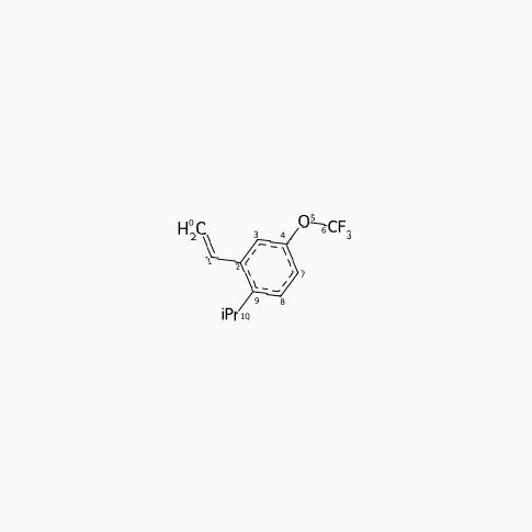 C=[C]c1cc(OC(F)(F)F)ccc1C(C)C